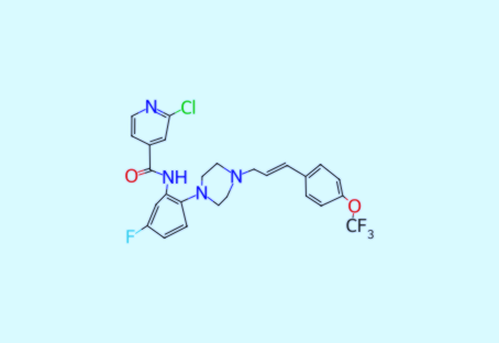 O=C(Nc1cc(F)ccc1N1CCN(CC=Cc2ccc(OC(F)(F)F)cc2)CC1)c1ccnc(Cl)c1